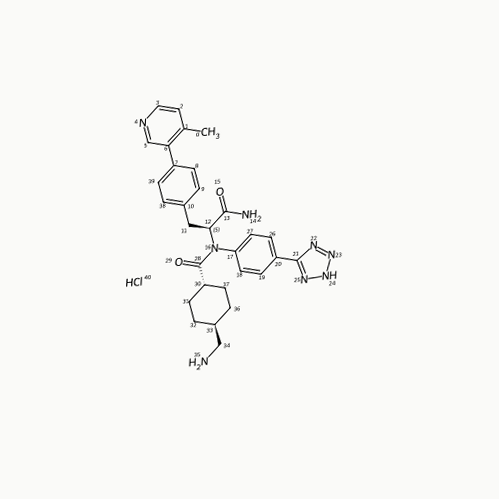 Cc1ccncc1-c1ccc(C[C@@H](C(N)=O)N(c2ccc(-c3nn[nH]n3)cc2)C(=O)[C@H]2CC[C@H](CN)CC2)cc1.Cl